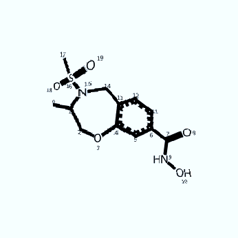 CC1COc2cc(C(=O)NO)ccc2CN1S(C)(=O)=O